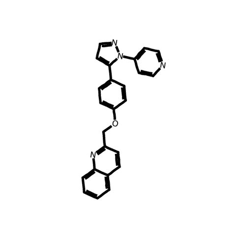 c1ccc2nc(COc3ccc(-c4ccnn4-c4ccncc4)cc3)ccc2c1